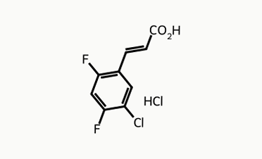 Cl.O=C(O)C=Cc1cc(Cl)c(F)cc1F